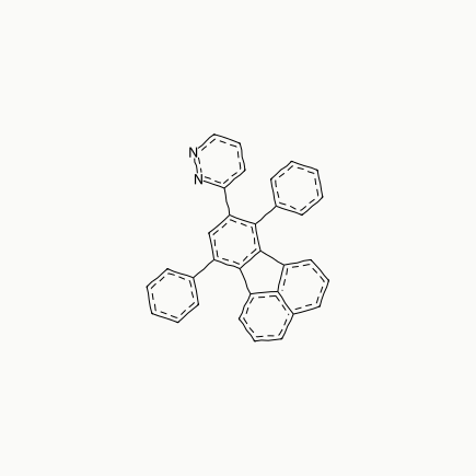 c1ccc(-c2cc(-c3cccnn3)c(-c3ccccc3)c3c2-c2cccc4cccc-3c24)cc1